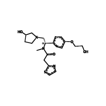 CN(C(=O)Cc1nccs1)[C@H](CN1CCC(O)C1)c1ccc(OCCO)cc1